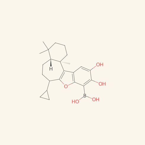 CC1(C)CCC[C@@]2(C)c3c(oc4c(B(O)O)c(O)c(O)cc34)C(C3CC3)CC[C@H]12